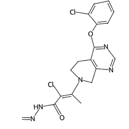 C=NNC(=O)/C(Cl)=C(\C)N1CCc2c(ncnc2Oc2ccccc2Cl)C1